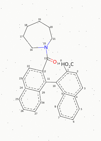 O=C(O)c1ccc2ccccc2c1-c1c(C(=O)N2CCCCCC2)ccc2ccccc12